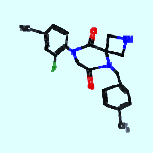 N#Cc1ccc(N2CC(=O)N(Cc3ccc(C(F)(F)F)cc3)C3(CNC3)C2=O)c(F)c1